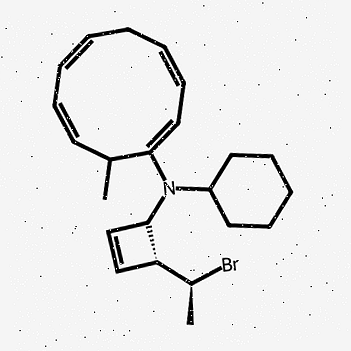 CC1/C=C\C=C/C/C=C\C=C/1N(C1CCCCC1)C1C=C[C@H]1[C@H](C)Br